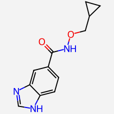 O=C(NOCC1CC1)c1ccc2[nH]cnc2c1